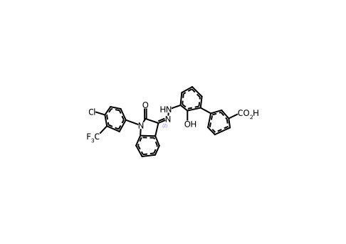 O=C(O)c1cccc(-c2cccc(N/N=C3\C(=O)N(c4ccc(Cl)c(C(F)(F)F)c4)c4ccccc43)c2O)c1